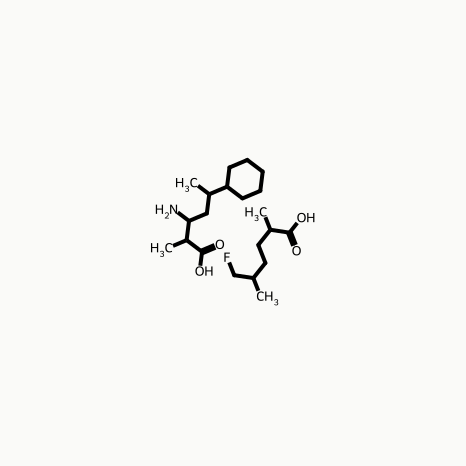 CC(CC(N)C(C)C(=O)O)C1CCCCC1.CC(CF)CCC(C)C(=O)O